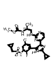 COC(=O)N[C@@H](C)CNc1nccc(-c2nc(C3CC3)[nH]c2-c2cc(Cl)cc(NS(=O)(=O)CC3CC3)c2F)n1